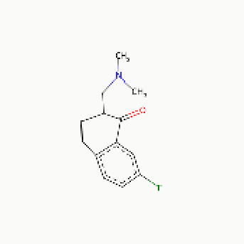 CN(C)CC1CCc2ccc(F)cc2C1=O